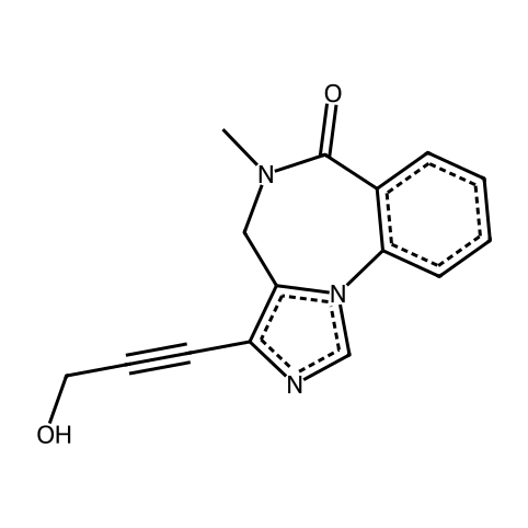 CN1Cc2c(C#CCO)ncn2-c2ccccc2C1=O